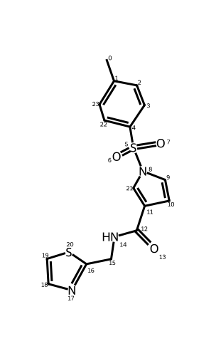 Cc1ccc(S(=O)(=O)n2ccc(C(=O)NCc3nccs3)c2)cc1